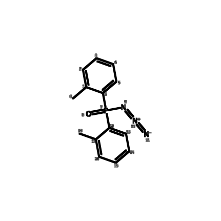 Cc1ccccc1P(=O)(N=[N+]=[N-])c1ccccc1C